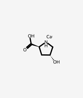 O=C(O)[C@@H]1C[C@@H](O)CN1.[Ca]